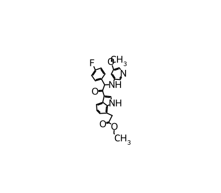 CCOC(=O)Cc1cccc2c(C(=O)C(Nc3cncc(OC)c3)c3ccc(F)cc3)c[nH]c12